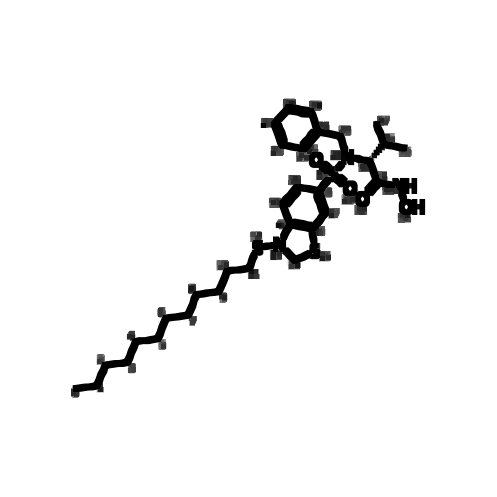 CCCCCCCCCCCCSN1CSc2cc(S(=O)(=O)N(Cc3ccccc3)[C@@H](C(=O)NO)C(C)C)ccc21